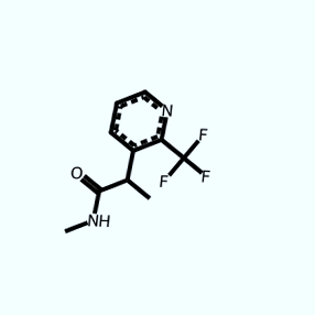 CNC(=O)C(C)c1cccnc1C(F)(F)F